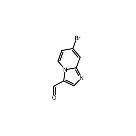 O=Cc1cnc2cc(Br)ccn12